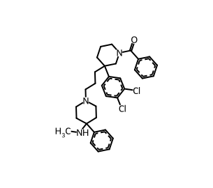 CNC1(c2ccccc2)CCN(CCCC2(c3ccc(Cl)c(Cl)c3)CCCN(C(=O)c3ccccc3)C2)CC1